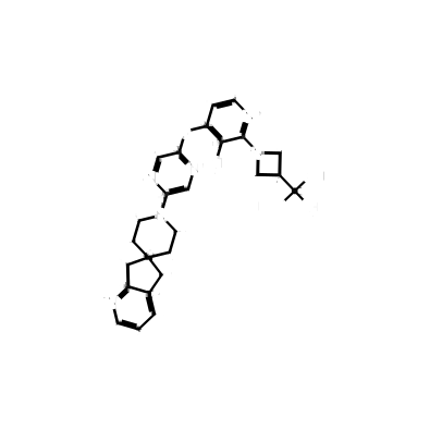 CC(C)(O)C1CN(c2nccc(Sc3cnc(N4CCC5(CC4)Cc4cccnc4C5)cn3)c2Cl)C1